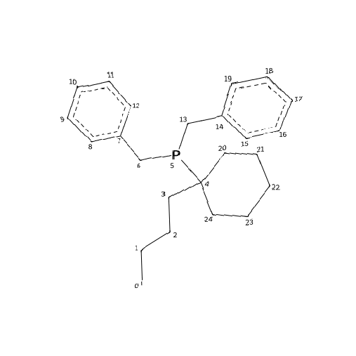 CCCCC1(P(Cc2ccccc2)Cc2ccccc2)CCCCC1